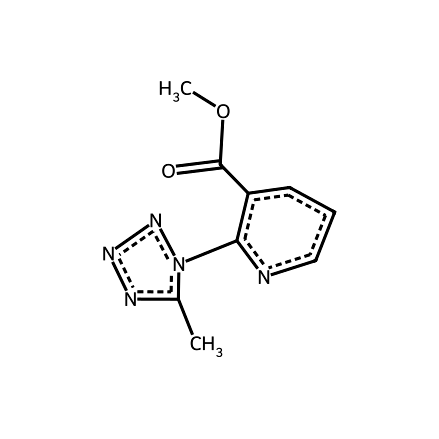 COC(=O)c1cccnc1-n1nnnc1C